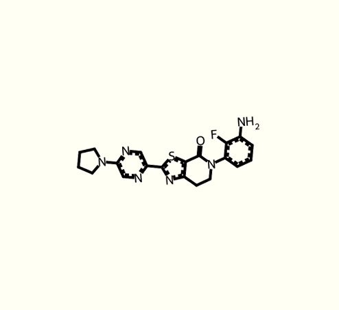 Nc1cccc(N2CCc3nc(-c4cnc(N5CCCC5)cn4)sc3C2=O)c1F